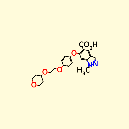 Cn1ncc2cc(C(=O)O)c(Oc3ccc(OCCOC4CCOCC4)cc3)cc21